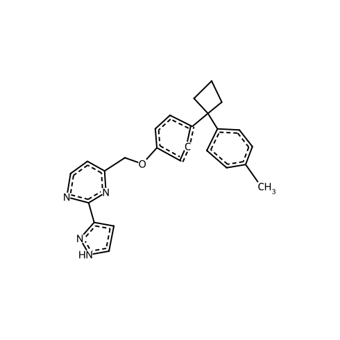 Cc1ccc(C2(c3ccc(OCc4ccnc(-c5cc[nH]n5)n4)cc3)CCC2)cc1